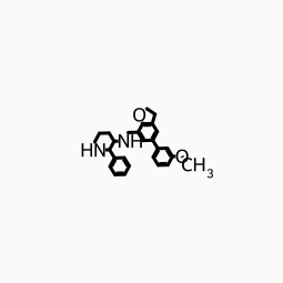 COc1cccc(-c2cc3c(c(CNC4CCCNC4c4ccccc4)c2)OCC3)c1